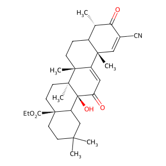 CCOC(=O)[C@]12CCC(C)(C)CC1[C@@]1(O)C(=O)C=C3[C@@]4(C)C=C(C#N)C(=O)[C@@H](C)C4CC[C@@]3(C)[C@]1(C)CC2